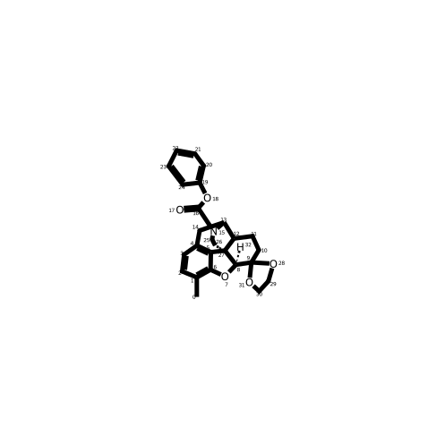 Cc1ccc2c3c1O[C@@H]1C4(CCC5C(C2)N(C(=O)Oc2ccccc2)CC[C@]351)OCCO4